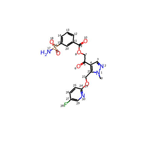 Cn1ncc(C(=O)COC(=O)c2cccc(S(N)(=O)=O)c2)c1COc1ccc(F)cn1